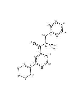 O=C(c1cc(C2=CCCCC2)ccn1)N(O)Cc1ccccc1